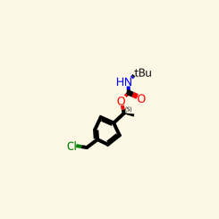 C[C@H](OC(=O)NC(C)(C)C)c1ccc(CCl)cc1